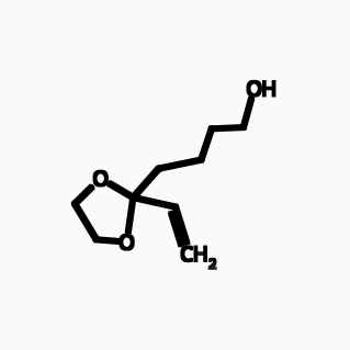 C=CC1(CCCCO)OCCO1